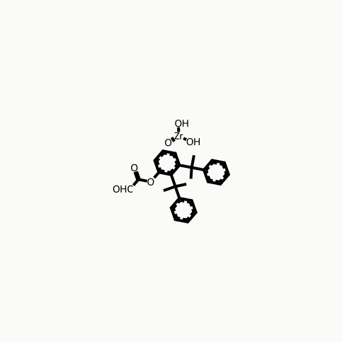 CC(C)(c1ccccc1)c1cccc(OC(=O)C=O)c1C(C)(C)c1ccccc1.[O]=[Zr]([OH])[OH]